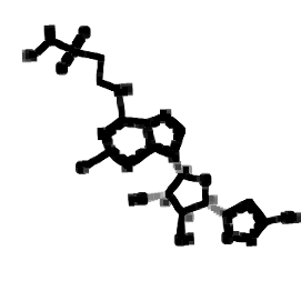 CC(C)NS(=O)(=O)CCNc1nc(Cl)nc2c1ncn2[C@@H]1O[C@H](c2cc(C(C)(C)C)no2)[C@@H](O)[C@@H]1O